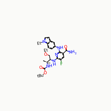 CCOCC(Nc1nc(Nc2ccc3c(ccn3CC)c2)c(C(N)=O)cc1F)[C@H](C)NC(=O)OC(C)(C)C